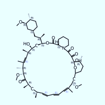 CO[C@H]1CC2CC[C@@H](C)[C@@](O)(O2)C(=O)C(=O)N2CCCC[C@H]2C(=O)O[C@H]([C@H](C)C[C@@H]2CC[C@@H](C)[C@H](OC)C2)C[C@H](O)[C@H](C)/C=C(\C)[C@@H](C)[C@@H](OC)C(=O)[C@H](C)C[C@H](C)/C=C/C=C/C=C/1C